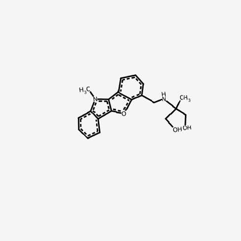 Cn1c2ccccc2c2oc3c(CNC(C)(CO)CO)cccc3c21